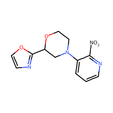 O=[N+]([O-])c1ncccc1N1CCOC(c2ncco2)C1